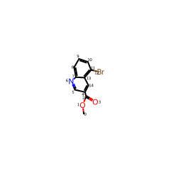 COC(=O)c1cnc2cccc(Br)c2c1